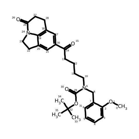 COc1ccccc1CN(CCCCC(=O)c1cc2c3c(c1)CCN3C(=O)CC2)C(=O)OC(C)(C)C